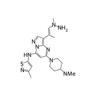 CNC1CCN(c2cc(Nc3cc(C)ns3)n3ncc(/C(C)=C/N(C)N)c3n2)CC1